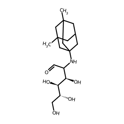 CC12CC3CC(C)(C1)CC(NC(C=O)[C@@H](O)[C@H](O)[C@H](O)CO)(C3)C2